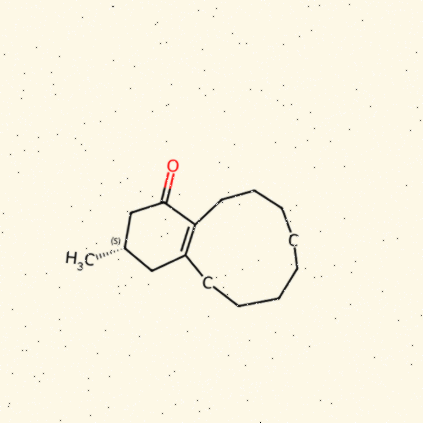 C[C@@H]1CC(=O)C2=C(CCCCCCCC2)C1